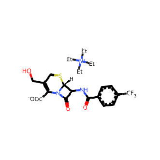 CC[N+](CC)(CC)CC.O=C([O-])C1=C(CO)CS[C@@H]2C(NC(=O)c3ccc(C(F)(F)F)cc3)C(=O)N12